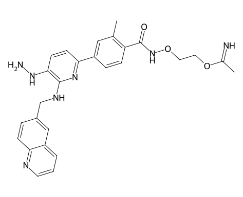 CC(=N)OCCONC(=O)c1ccc(-c2ccc(NN)c(NCc3ccc4ncccc4c3)n2)cc1C